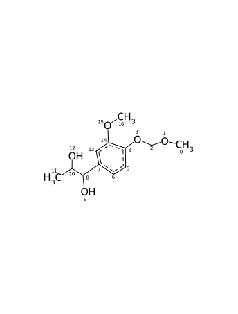 COCOc1ccc(C(O)C(C)O)cc1OC